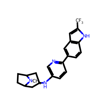 CN1C2CCC1CC(Nc1ccc(-c3ccc4[nH]c(C(F)(F)F)cc4c3)nc1)C2